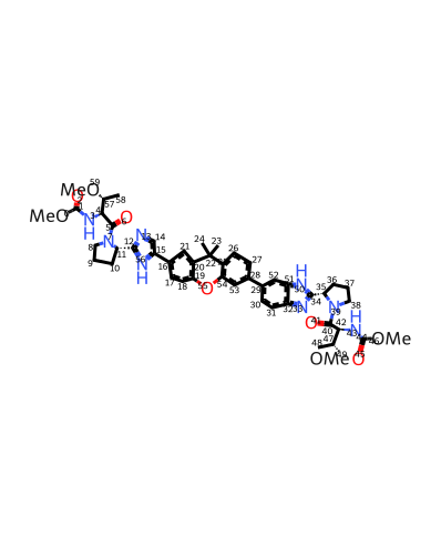 COC(=O)N[C@H](C(=O)N1CCC[C@H]1c1ncc(-c2ccc3c(c2)C(C)(C)c2ccc(-c4ccc5nc([C@@H]6CCCN6C(=O)[C@@H](NC(=O)OC)[C@@H](C)OC)[nH]c5c4)cc2O3)[nH]1)[C@@H](C)OC